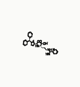 N=C(NCCC[C@H](NC(=O)c1ccc(C(c2ccccc2)c2ccccc2)s1)C(=O)O)c1ccccn1